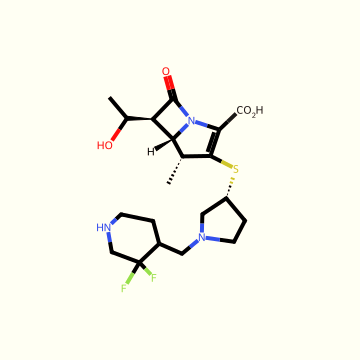 CC(O)[C@H]1C(=O)N2C(C(=O)O)=C(S[C@@H]3CCN(CC4CCNCC4(F)F)C3)[C@H](C)[C@H]12